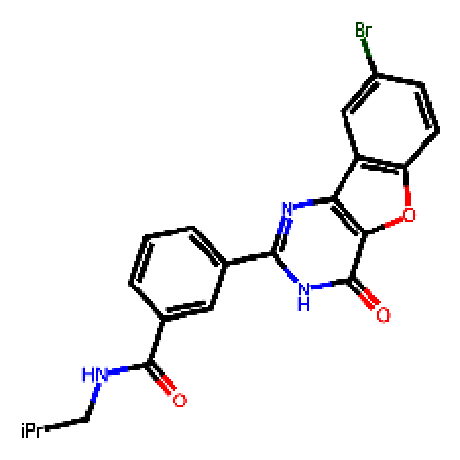 CC(C)CNC(=O)c1cccc(-c2nc3c(oc4ccc(Br)cc43)c(=O)[nH]2)c1